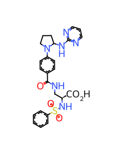 O=C(NC[C@H](NS(=O)(=O)c1ccccc1)C(=O)O)c1ccc(N2CCCC2Nc2ncccn2)cc1